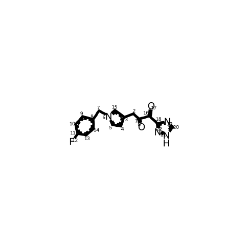 O=C(Cc1ccn(Cc2ccc(F)cc2)c1)C(=O)c1nc[nH]n1